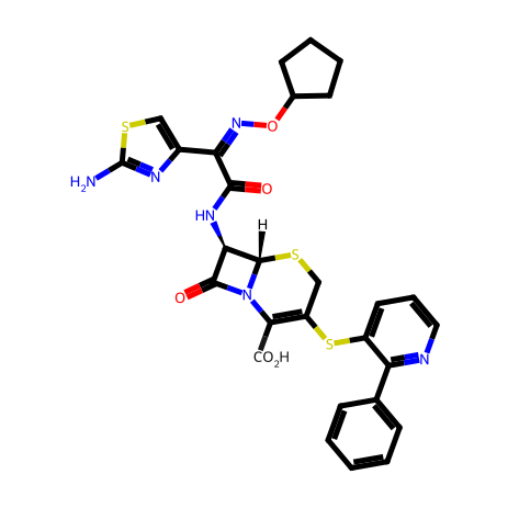 Nc1nc(/C(=N/OC2CCCC2)C(=O)N[C@@H]2C(=O)N3C(C(=O)O)=C(Sc4cccnc4-c4ccccc4)CS[C@@H]23)cs1